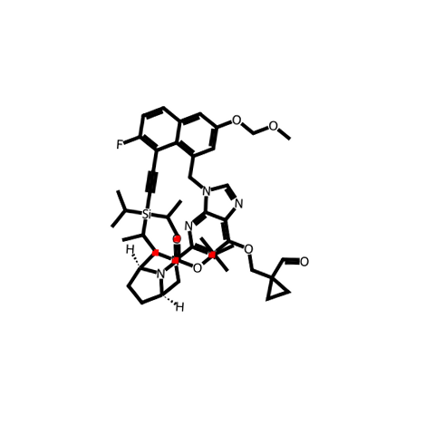 COCOc1cc(Cn2cnc3c(OCC4(C=O)CC4)nc(N4C[C@H]5CC[C@@H](C4)N5C(=O)OC(C)(C)C)nc32)c2c(C#C[Si](C(C)C)(C(C)C)C(C)C)c(F)ccc2c1